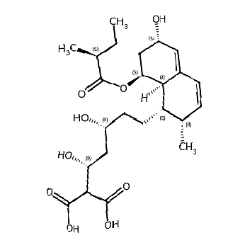 CC[C@H](C)C(=O)O[C@H]1C[C@H](O)C=C2C=C[C@H](C)[C@H](CC[C@@H](O)C[C@@H](O)C(C(=O)O)C(=O)O)[C@H]21